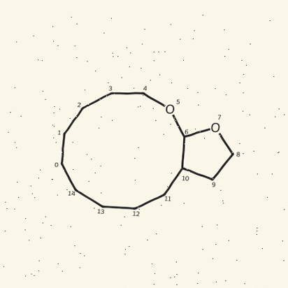 C1CCCCOC2OCCC2CCCC1